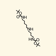 CC(C)(C)OC(=O)NCCCCCNCCCCNC(=O)OC(C)(C)C